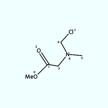 COC(=O)CN(C)CCl